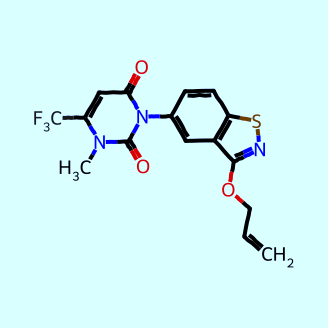 C=CCOc1nsc2ccc(-n3c(=O)cc(C(F)(F)F)n(C)c3=O)cc12